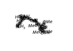 COc1cccc(C(CCc2ccc(OCc3cn(CCOCCOCCOCC(=O)N[C@H](C(=O)N4C[C@H](O)C[C@H]4C(=O)NCc4ccc(-c5scnc5C)cc4)C(C)(C)C)nn3)c(OC)c2)OC(=O)C2CCCCN2C(=O)[C@H](c2cc(OC)c(OC)c(OC)c2)C2CCCCC2)c1